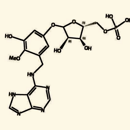 COc1c(O)cc(OC2O[C@H](COP(=O)(O)O)[C@@H](O)[C@H]2O)cc1CNc1ncnc2nc[nH]c12